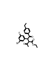 CCOC(=O)C(C(C)=O)C(C(=O)c1ccc(CC)cc1)c1cc(F)cc(Br)c1